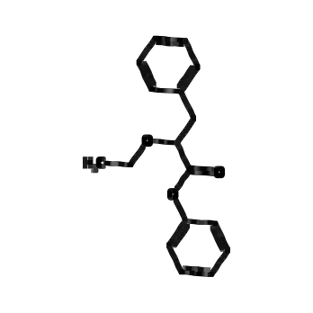 CCOC(Cc1ccccc1)C(=O)Oc1ccccc1